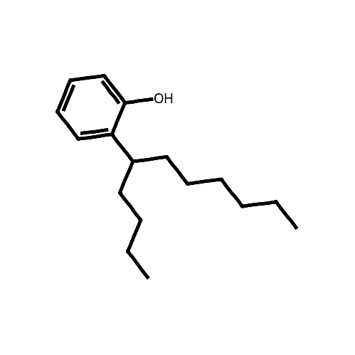 CCCCCCC(CCCC)c1ccccc1O